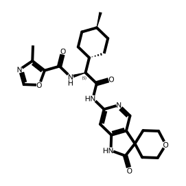 Cc1ncoc1C(=O)N[C@H](C(=O)Nc1cc2c(cn1)C1(CCOCC1)C(=O)N2)[C@H]1CC[C@H](C)CC1